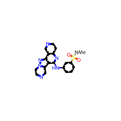 CNS(=O)(=O)c1cccc(Nc2nc3ccncc3c3nn4ccncc4c23)c1